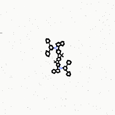 CC1(C)c2cc3c(cc2-c2cc4c(cc21)c1c2ccccc2ccc1n4-c1cc(-c2ccccc2)cc(-c2ccccc2)c1)C(C)(C)c1cc2c4c5ccccc5ccc4n(-c4cc(-c5ccccc5)cc(-c5ccccc5)c4)c2cc1-3